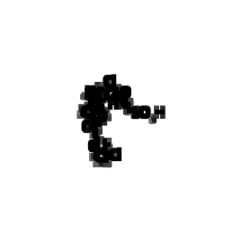 O=C(NCCS(=O)(=O)O)c1cc(F)c(Cn2cc(-c3cccc4c3OCCCN4C(=O)CCCOc3cccc(Cl)c3F)cn2)c(Cl)c1